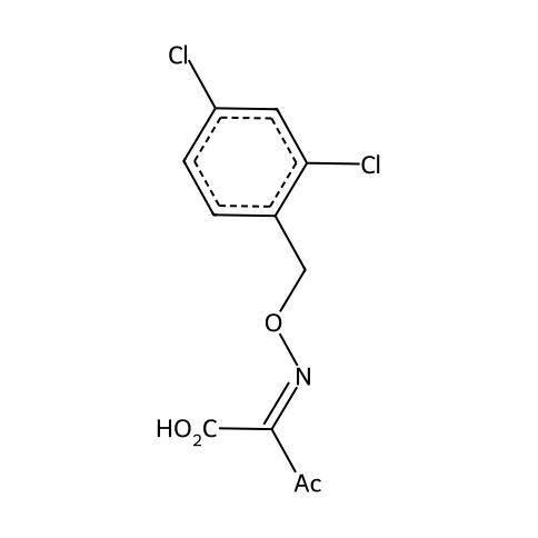 CC(=O)C(=NOCc1ccc(Cl)cc1Cl)C(=O)O